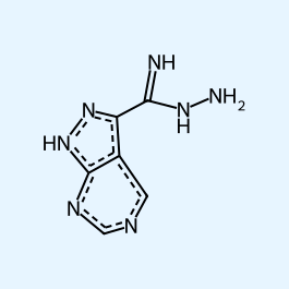 N=C(NN)c1n[nH]c2ncncc12